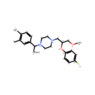 CCCCCC(c1ccc(C#N)c(C)c1)N1CCN(CC(COCCC)Oc2ccc(F)cc2)CC1